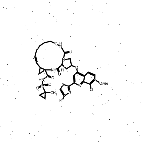 COc1ccc2c(OC3C[C@H]4C(=O)NC5(C(=O)NS(=O)(=O)C6(C)CC6)CC5/C=C\CCCCCNC(=O)N4C3)cc(-c3nc(C(C)C)cs3)nc2c1Cl